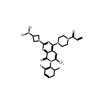 C=CC(=O)N1CCN(c2nc(N3CC(N(CC)CC)C3)nc3c(=O)n(C4=C(F)C=CCC4F)c(C(F)(F)F)cc23)CC1